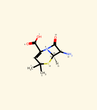 CC1(C)C=C(C(=O)O)N2C(=O)C(N)[C@H]2S1